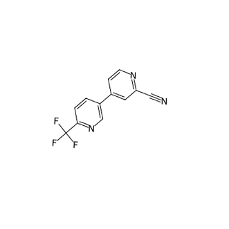 N#Cc1cc(-c2ccc(C(F)(F)F)nc2)ccn1